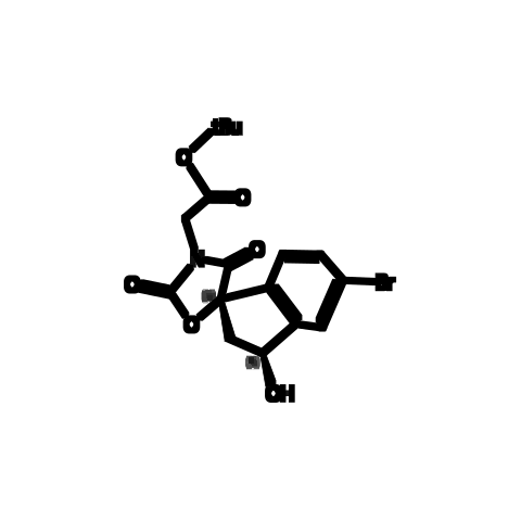 CC(C)(C)OC(=O)CN1C(=O)O[C@]2(C[C@H](O)c3cc(Br)ccc32)C1=O